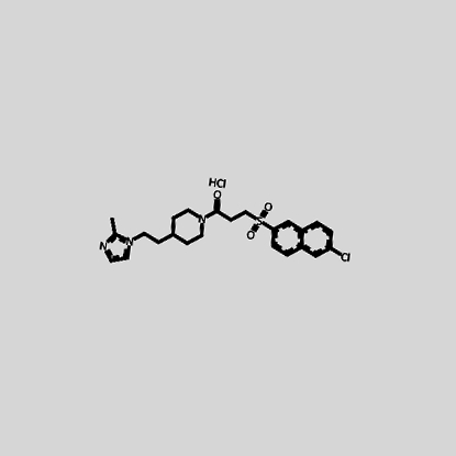 Cc1nccn1CCC1CCN(C(=O)CCS(=O)(=O)c2ccc3cc(Cl)ccc3c2)CC1.Cl